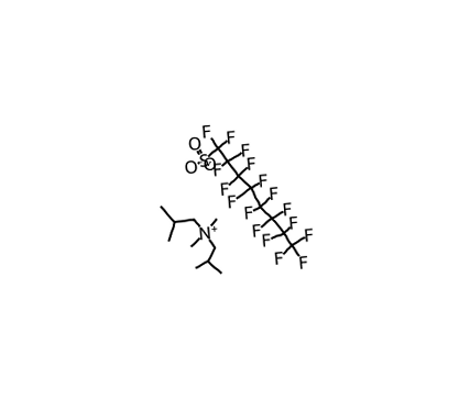 CC(C)C[N+](C)(C)CC(C)C.O=S(=O)([O-])C(F)(F)C(F)(F)C(F)(F)C(F)(F)C(F)(F)C(F)(F)C(F)(F)C(F)(F)F